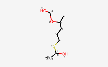 CC(CCCS[C@@H](O)C(C)(C)C)OCO